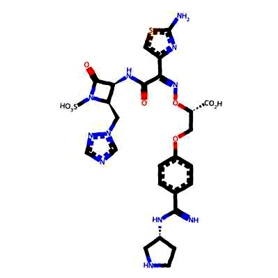 N=C(N[C@@H]1CCNC1)c1ccc(OC[C@H](O/N=C(\C(=O)N[C@@H]2C(=O)N(S(=O)(=O)O)[C@@H]2Cn2cncn2)c2csc(N)n2)C(=O)O)cc1